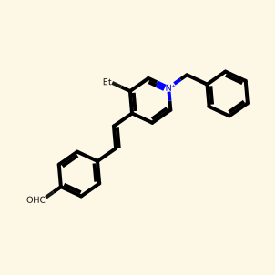 CCc1c[n+](Cc2ccccc2)ccc1C=Cc1ccc(C=O)cc1